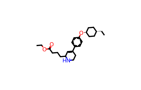 CCOC(=O)CCCC1C=C(c2ccc(O[C@H]3CC[C@@H](CC)CC3)cc2)CCN1